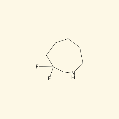 FC1(F)CCCCCNC1